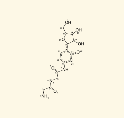 NCC(=O)NCC(=O)Nc1ccn(C2OC(CO)C(O)C2O)c(=O)n1